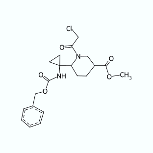 COC(=O)C1CCC(C2(NC(=O)OCc3ccccc3)CC2)N(C(=O)CCl)C1